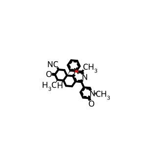 Cc1nc(-c2ccc(=O)n(C)c2)c2c(n1)[C@]1(c3ccccc3)CC(C#N)C(=O)[C@@H](C)[C@@H]1CC2